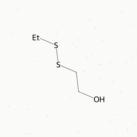 [CH2]CSSCCO